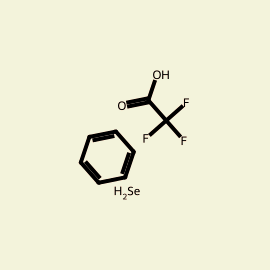 O=C(O)C(F)(F)F.[SeH2].c1ccccc1